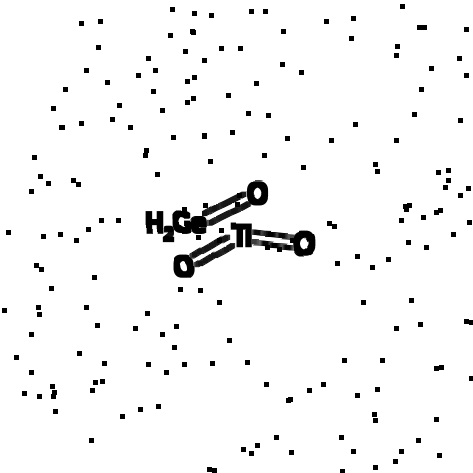 [O]=[GeH2].[O]=[Ti]=[O]